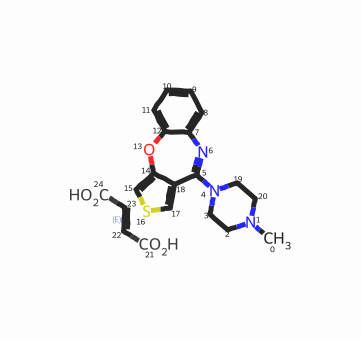 CN1CCN(C2=Nc3ccccc3Oc3cscc32)CC1.O=C(O)/C=C/C(=O)O